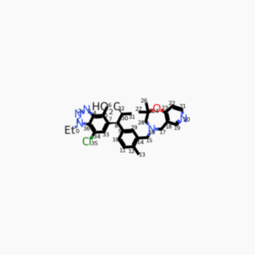 CCn1nnc2c(C)c([C@H](c3ccc(C)c(CN4Cc5cnccc5OC(C)(C)C4)c3)[C@@H](C)C(=O)O)cc(Cl)c21